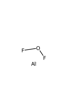 FOF.[Al]